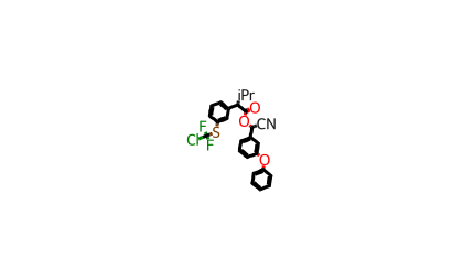 CC(C)C(C(=O)OC(C#N)c1cccc(Oc2ccccc2)c1)c1cccc(SC(F)(F)Cl)c1